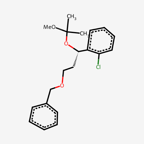 COC(C)(C)O[C@@H](CCOCc1ccccc1)c1ccccc1Cl